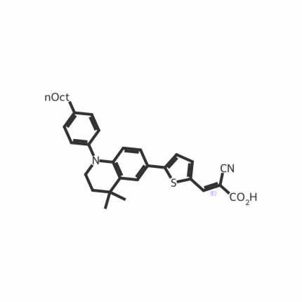 CCCCCCCCc1ccc(N2CCC(C)(C)c3cc(-c4ccc(/C=C(\C#N)C(=O)O)s4)ccc32)cc1